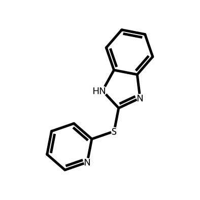 c1ccc(Sc2nc3ccccc3[nH]2)nc1